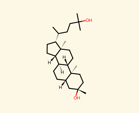 CC(CCC(C)(C)O)[C@H]1CC[C@H]2[C@@H]3CC[C@H]4C[C@@](C)(O)CC[C@]4(C)[C@H]3CC[C@]12C